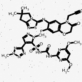 C#CCN1C(=O)COc2cc(F)c(/N=c3\snc4n3CC(C)(C)C4)cc21.COc1cc(OC)nc(NC(=O)NS(=O)(=O)c2c(-c3nnn(C)n3)cnn2C)n1